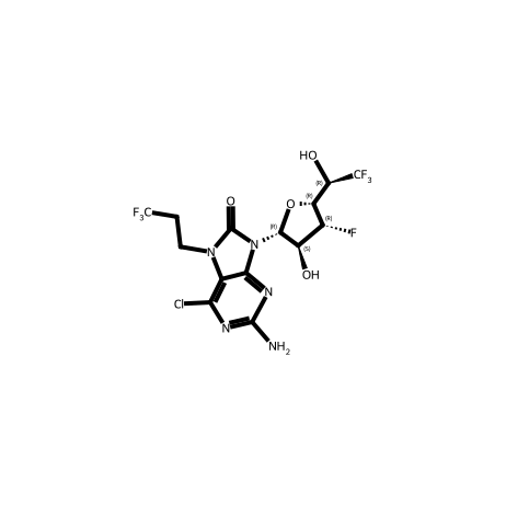 Nc1nc(Cl)c2c(n1)n([C@@H]1O[C@H]([C@@H](O)C(F)(F)F)[C@H](F)[C@H]1O)c(=O)n2CCC(F)(F)F